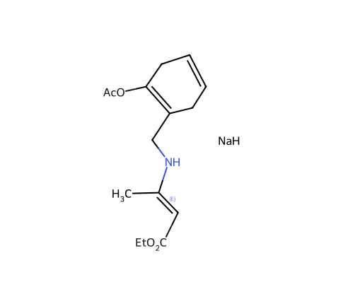 CCOC(=O)/C=C(\C)NCC1=C(OC(C)=O)CC=CC1.[NaH]